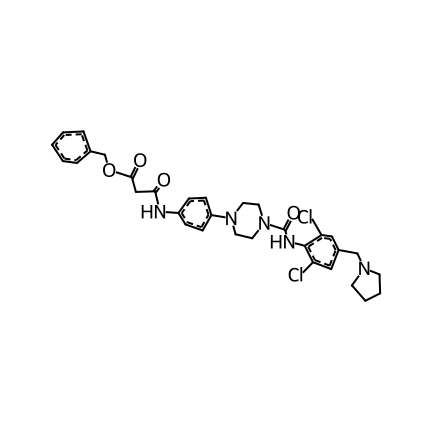 O=C(CC(=O)OCc1ccccc1)Nc1ccc(N2CCN(C(=O)Nc3c(Cl)cc(CN4CCCC4)cc3Cl)CC2)cc1